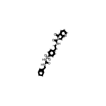 O=C(NCC1CC2CCC1C2)NS(=O)(=O)c1ccc(CCNC(=O)N2Cc3ncccc3C2=O)cc1